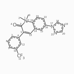 C[N+]1(C)C(=O)C(c2cccc(C(F)(F)F)c2)=Cc2cc(-n3cncn3)ccc21